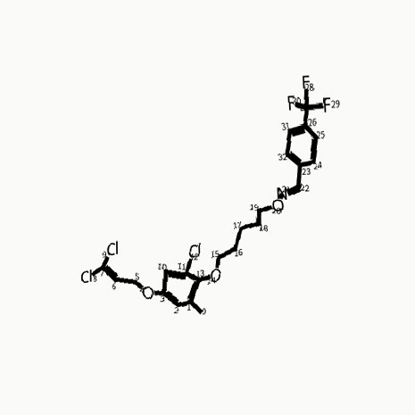 Cc1cc(OCC=C(Cl)Cl)cc(Cl)c1OCCCCCO/N=C/c1ccc(C(F)(F)F)cc1